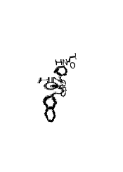 O=C(CI)Nc1ccc(NOS(=O)(=O)c2ccc3ccccc3c2)cc1